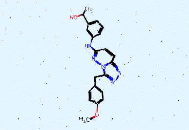 COc1ccc(Cc2nnc3ccc(Nc4cccc(C(C)O)c4)nn23)cc1